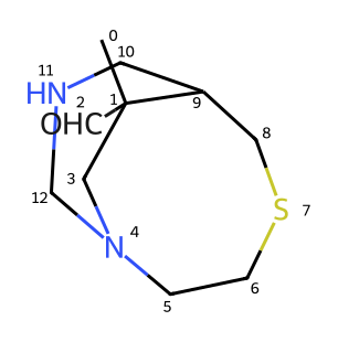 CC1(C=O)CN2CCSCC1CNC2